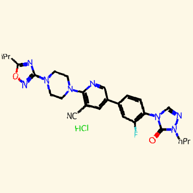 CCCn1ncn(-c2ccc(-c3cnc(N4CCN(c5noc(C(C)C)n5)CC4)c(C#N)c3)cc2F)c1=O.Cl